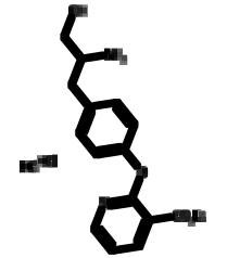 CCOC(=O)c1cccnc1Oc1ccc(CC(N)CO)cc1.Cl.Cl